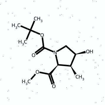 COC(=O)[C@@H]1[C@H](C)[C@H](O)CN1C(=O)OC(C)(C)C